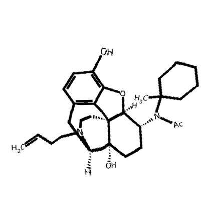 C=CCN1CC[C@]23c4c5ccc(O)c4O[C@H]2[C@H](N(C(C)=O)C2(C)CCCCC2)CC[C@@]3(O)[C@H]1C5